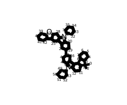 CC1(C)c2ccccc2-c2c1ccc1c2c2cc(-c3ccc4c(c3)c3cc5c(cc3n4-c3ccccc3)oc3ccccc35)ccc2n1-c1ccccc1